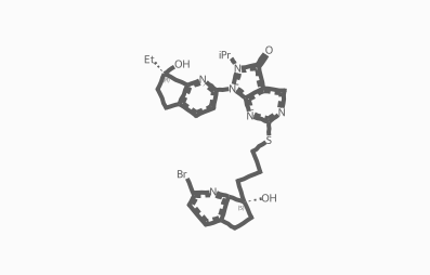 CC[C@@]1(O)CCc2ccc(-n3c4nc(SCCC[C@@]5(O)CCc6ccc(Br)nc65)ncc4c(=O)n3C(C)C)nc21